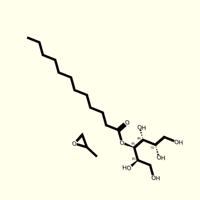 CC1CO1.CCCCCCCCCCCC(=O)O[C@@H]([C@H](O)[C@@H](O)CO)[C@H](O)CO